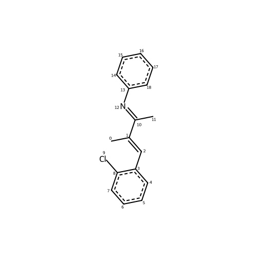 CC(=Cc1ccccc1Cl)C(C)=Nc1ccccc1